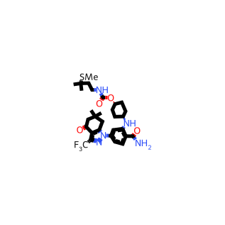 CSC(C)(C)CCNC(=O)O[C@H]1CC[C@H](Nc2cc(-n3nc(C(F)(F)F)c4c3CC(C)(C)CC4=O)ccc2C(N)=O)CC1